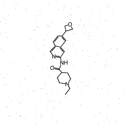 CCN1CCC(C(=O)Nc2cc3cc(C4COC4)ccc3cn2)CC1